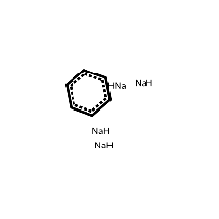 [NaH].[NaH].[NaH].[NaH].c1ccccc1